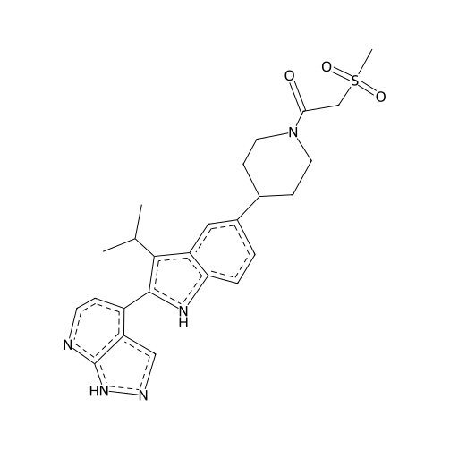 CC(C)c1c(-c2ccnc3[nH]ncc23)[nH]c2ccc(C3CCN(C(=O)CS(C)(=O)=O)CC3)cc12